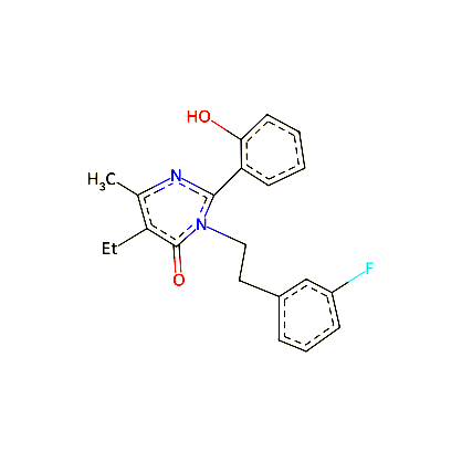 CCc1c(C)nc(-c2ccccc2O)n(CCc2cccc(F)c2)c1=O